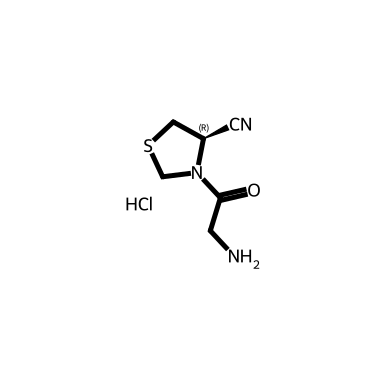 Cl.N#C[C@@H]1CSCN1C(=O)CN